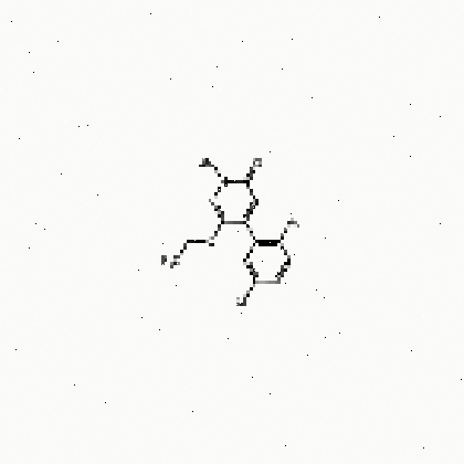 CC(=O)c1ccc(Cl)cc1-c1cc(=O)n(C(C)(C)C)nc1OCC(F)(F)F